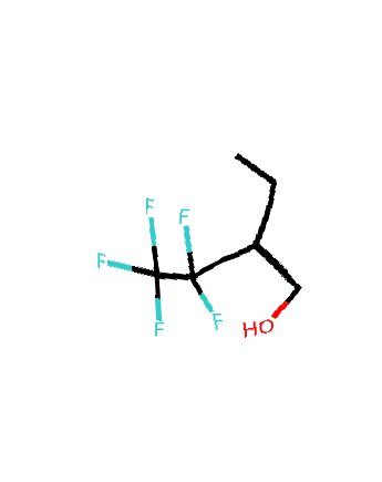 CCC(CO)C(F)(F)C(F)(F)F